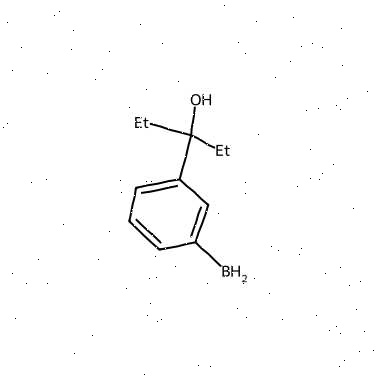 Bc1cccc(C(O)(CC)CC)c1